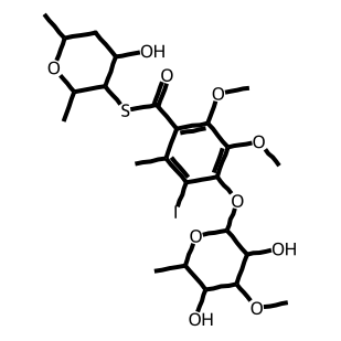 COc1c(OC2OC(C)C(O)C(OC)C2O)c(I)c(C)c(C(=O)SC2C(O)CC(C)OC2C)c1OC